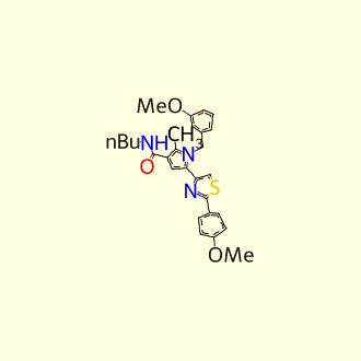 CCCCNC(=O)c1cc(-c2csc(-c3ccc(OC)cc3)n2)n(Cc2cccc(OC)c2)c1C